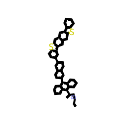 C=C/C=C\C(=C)c1c2ccccc2c(-c2ccc3cc(-c4ccc5sc6cc7cc8c(cc7cc6c5c4)sc4ccccc48)ccc3c2)c2ccccc12